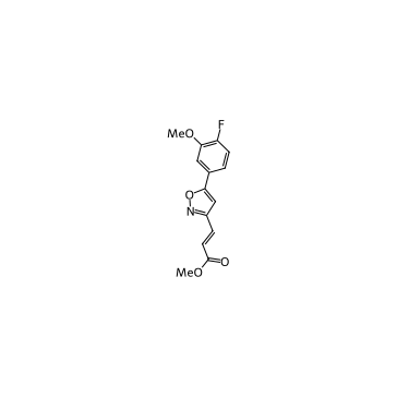 COC(=O)/C=C/c1cc(-c2ccc(F)c(OC)c2)on1